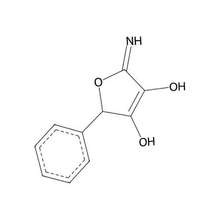 N=C1OC(c2ccccc2)C(O)=C1O